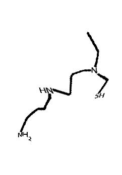 CCN(CS)CCNCCN